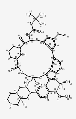 CCn1c(-c2cc(N3CCN4CCOC[C@@H]4C3)cnc2[C@H](C)OC)c2c3cc(ccc31)-c1cc(CF)cc(c1)C[C@H](NC(=O)OC(C)(C)C)C(=O)N1CCC[C@H](N1)C(=O)OCC(C)(C)C2